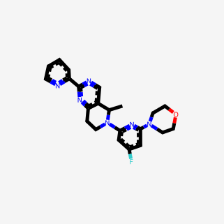 CC1c2cnc(-c3ccccn3)nc2CCN1c1cc(F)cc(N2CCOCC2)n1